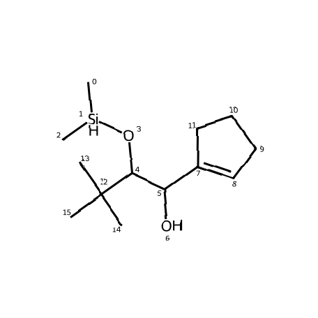 C[SiH](C)OC(C(O)C1=CCCC1)C(C)(C)C